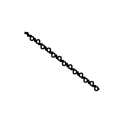 CCCCOCCOCCOCCOCCOCCOCCOCCOCCOCCOCCOCCOCCOC